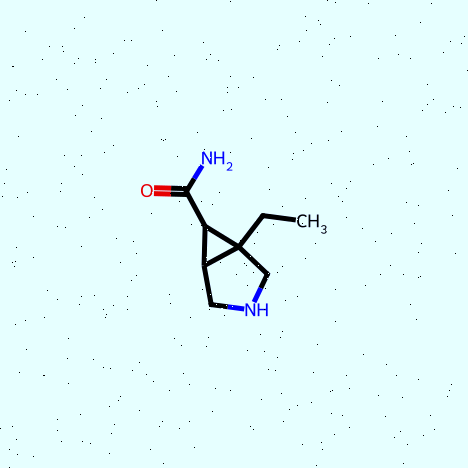 CCC12CNCC1C2C(N)=O